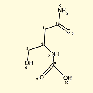 NC(=O)CC(CO)NC(=O)O